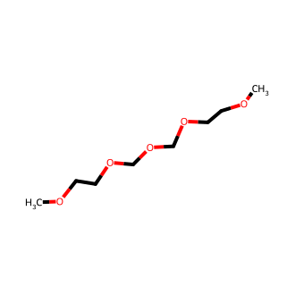 COCCOCOCOCCOC